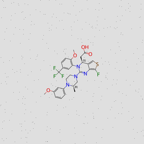 COc1cccc(N2CCN(C3=Nc4c(csc4F)[C@H](CC(=O)O)N3c3cc(C(F)(F)F)ccc3OC)C[C@H]2C)c1